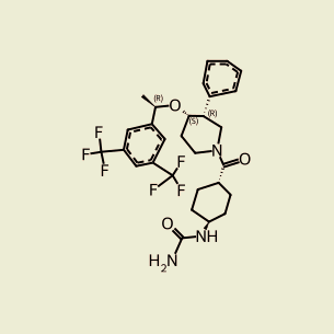 C[C@@H](O[C@H]1CCN(C(=O)[C@H]2CC[C@H](NC(N)=O)CC2)C[C@H]1c1ccccc1)c1cc(C(F)(F)F)cc(C(F)(F)F)c1